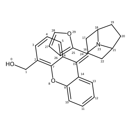 OCc1cccc2c1Oc1ccccc1C2=C1CC2CCC(C1)N2Cc1ccco1